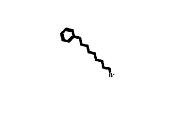 BrCCCCCCCC[CH]c1ccccc1